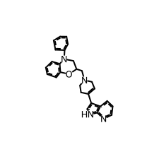 C1=C(c2c[nH]c3ncccc23)CCN(CC2CN(c3ccccc3)c3ccccc3O2)C1